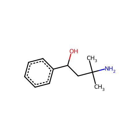 CC(C)(N)CC(O)c1ccccc1